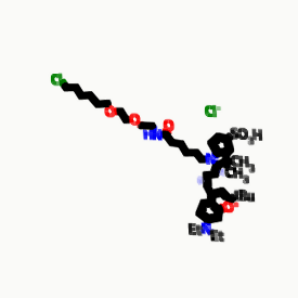 CCN(CC)c1ccc2c(/C=C\C=C3/N(CCCCCC(=O)NCCOCCOCCCCCCCl)c4ccc(S(=O)(=O)O)cc4C3(C)C)cc(C(C)(C)C)[o+]c2c1.[Cl-]